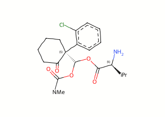 CNC(=O)OC(OC(=O)[C@@H](N)C(C)C)[C@@]1(c2ccccc2Cl)CCCCC1=O